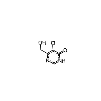 O=c1[nH]cnc(CO)c1Cl